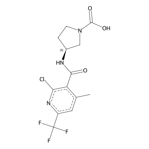 Cc1cc(C(F)(F)F)nc(Cl)c1C(=O)N[C@H]1CCN(C(=O)O)C1